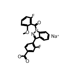 COc1cccc(F)c1C(=O)n1nc(-c2ccc(C(=O)[O-])cc2F)c2ccccc21.[Na+]